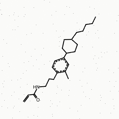 C=CC(=O)NCCCc1ccc(C2CCC(CCCCC)CC2)cc1C